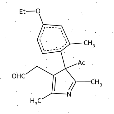 CCOc1ccc(C2(C(C)=O)C(C)=NC(C)=C2CC=O)c(C)c1